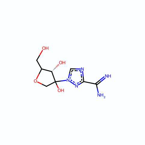 N=C(N)c1ncn(C2(O)COC(CO)[C@@H]2O)n1